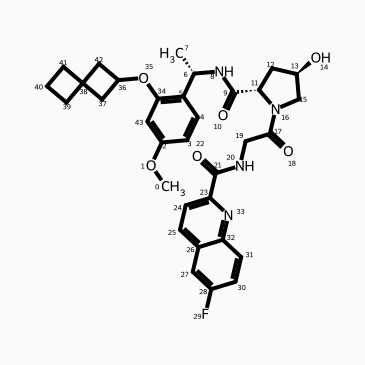 COc1ccc([C@H](C)NC(=O)[C@@H]2C[C@@H](O)CN2C(=O)CNC(=O)c2ccc3cc(F)ccc3n2)c(OC2CC3(CCC3)C2)c1